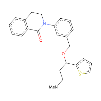 CNCCC(OCc1cccc(N2CCc3ccccc3C2=O)c1)c1cccs1